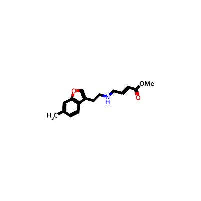 COC(=O)/C=C/CNCCc1coc2cc(C)ccc12